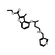 CCOC(=O)c1oc2cccc(OC(C)CCNCc3cccnc3)c2c1C